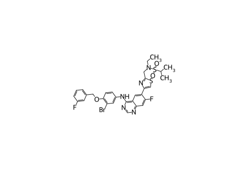 CCN(Cc1nc(-c2cc3c(Nc4ccc(OCc5cccc(F)c5)c(Br)c4)ncnc3cc2F)cs1)S(=O)(=O)C(C)C